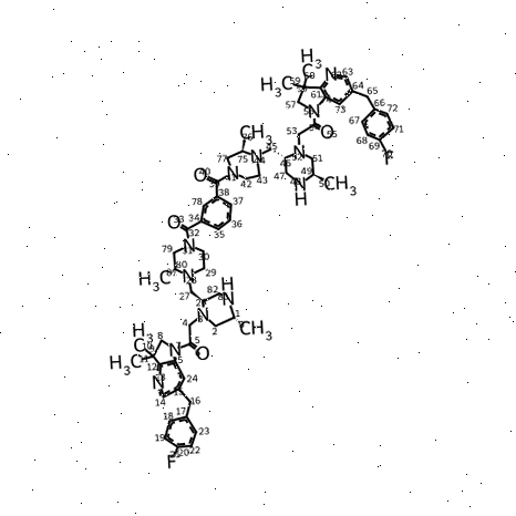 C[C@@H]1CN(CC(=O)N2CC(C)(C)c3ncc(Cc4ccc(F)cc4)cc32)[C@@H](CN2CCN(C(=O)c3cccc(C(=O)N4CCN(C[C@H]5CN[C@H](C)CN5CC(=O)N5CC(C)(C)c6ncc(Cc7ccc(F)cc7)cc65)[C@H](C)C4)c3)C[C@H]2C)CN1